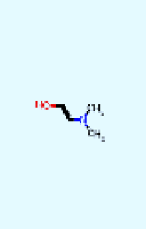 CN(C)C=CO